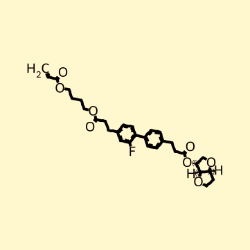 C=CC(=O)OCCCCOC(=O)CCc1ccc(-c2ccc(CCC(=O)O[C@@H]3CO[C@@H]4CCO[C@@H]43)cc2)c(F)c1